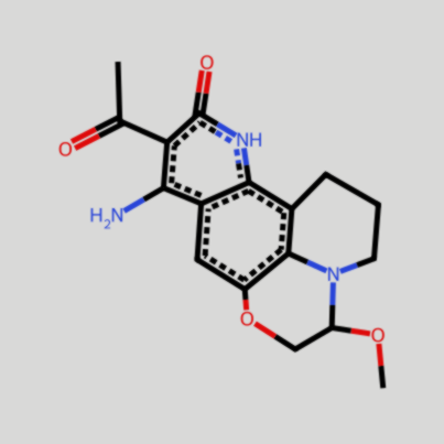 COC1COc2cc3c(N)c(C(C)=O)c(=O)[nH]c3c3c2N1CCC3